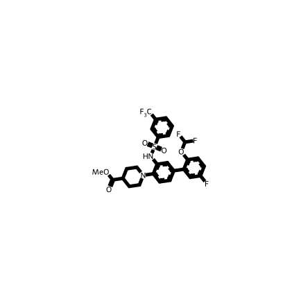 COC(=O)C1CCN(c2ccc(-c3cc(F)ccc3OC(F)F)cc2NS(=O)(=O)c2cccc(C(F)(F)F)c2)CC1